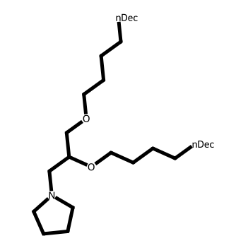 CCCCCCCCCCCCCCOCC(CN1CCCC1)OCCCCCCCCCCCCCC